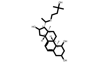 CC(SCCC(C)(C)O)[C@H]1C(O)C[C@H]2C3=CC=C4CC(O)CC(O)[C@]4(C)[C@H]3CC[C@]12C